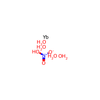 O.O.O.O.O=[N+]([O-])O.[Yb]